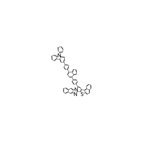 c1ccc(-n2c3ccccc3c3cc(-c4ccc(-c5ccc(-c6ccc(-c7cc8c(sc9ccc%10ccccc%10c98)c8nc9cc%10ccccc%10cc9n78)cc6)c6ccccc56)cc4)ccc32)cc1